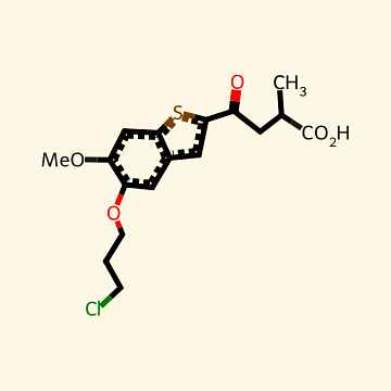 COc1cc2sc(C(=O)CC(C)C(=O)O)cc2cc1OCCCCl